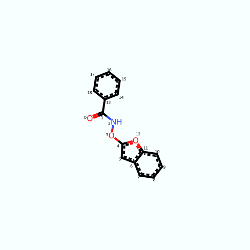 O=C(NOc1cc2ccccc2o1)c1ccccc1